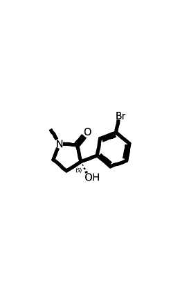 CN1CC[C@](O)(c2cccc(Br)c2)C1=O